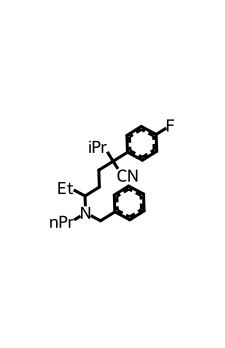 CCCN(Cc1ccccc1)C(CC)CCC(C#N)(c1ccc(F)cc1)C(C)C